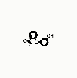 O=[N+]([O-])c1ccccc1Oc1cccc(O)c1